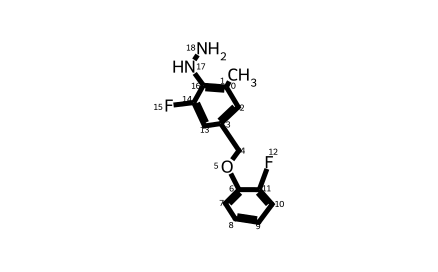 Cc1cc(COc2ccccc2F)cc(F)c1NN